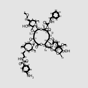 CON=C1C[C@@H](C)O[C@@H](O[C@@H]2[C@@H](C)[C@H](O[C@H]3CC(C)N(CCNS(=O)(=O)c4ccc(N)nc4)C[C@H](C)O3)[C@@H](C)C(=O)O[C@H]([C@@H](C)CO[C@@H]3O[C@H](C)[C@@H](O)[C@@H](OC)[C@H]3OC)[C@H](C)[C@@H](OC(=O)CC(C)C)[C@@H](C)C(=O)[C@@](C)(OC(=O)NCc3ccccc3)C[C@@H]2C)[C@@H]1O